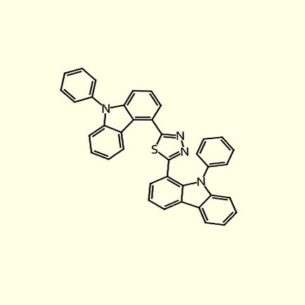 c1ccc(-n2c3ccccc3c3c(-c4nnc(-c5cccc6c7ccccc7n(-c7ccccc7)c56)s4)cccc32)cc1